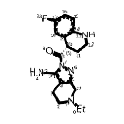 CCN1CCc2c(nn(C(=O)[C@H]3CCNc4ccc(F)cc43)c2N)C1